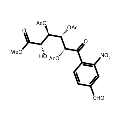 COC(=O)[C@@H](O)[C@@H](OC(C)=O)[C@H](OC(C)=O)[C@@H](OC(C)=O)C(=O)c1ccc(C=O)cc1[N+](=O)[O-]